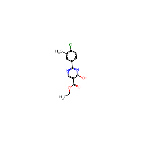 CCOC(=O)c1cnc(-c2ccc(Cl)c(C)c2)nc1O